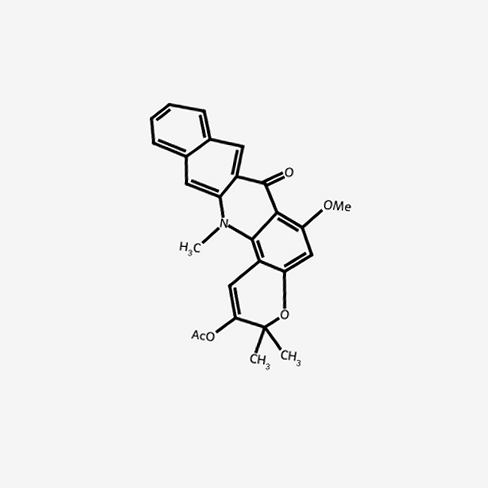 COc1cc2c(c3c1c(=O)c1cc4ccccc4cc1n3C)C=C(OC(C)=O)C(C)(C)O2